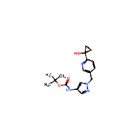 CC(C)(C)OC(=O)Nc1cnn(Cc2ccc(C3(O)CC3)nc2)c1